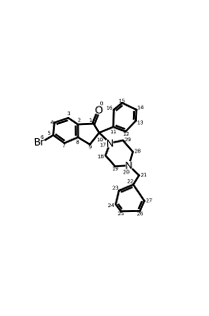 O=C1c2ccc(Br)cc2CC1(c1ccccc1)N1CCN(Cc2ccccc2)CC1